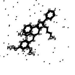 CCCCn1c(-c2ccccc2)nc(-c2ccccc2)c1CN(CCC)Cc1ccc(OC)cc1OC